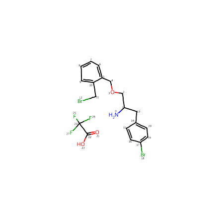 NC(COCc1ccccc1CBr)Cc1ccc(Br)cc1.O=C(O)C(F)(F)F